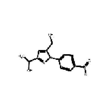 CCc1cc(C(C)O)nn1-c1ccc([N+](=O)[O-])cc1